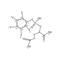 O=C(O)CCC(CP(=O)(O)Cc1c(F)c(F)c(F)c(F)c1F)C(=O)O